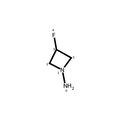 NN1CC(F)C1